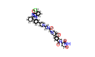 O=C1CC[C@H](N2Cc3c(ccc4c3OCC43CCN(CC(=O)N4CC(N5CCC(c6ccc7c(c6)-n6c(nc(=O)c8c(Cl)cccc86)C76CCCCC6)CC5)C4)CC3)C2=O)C(=O)N1